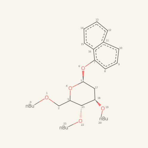 CCCCOCC1O[C@@H](Oc2cccc3ccccc23)C[C@@H](OCCCC)[C@@H]1OCCCC